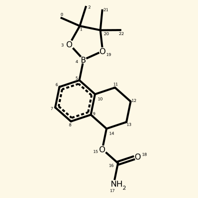 CC1(C)OB(c2cccc3c2CCCC3OC(N)=O)OC1(C)C